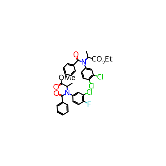 CCOC(=O)C(C)N(C(=O)c1ccccc1)c1ccc(Cl)c(Cl)c1.COC(=O)C(C)N(C(=O)c1ccccc1)c1ccc(F)c(Cl)c1